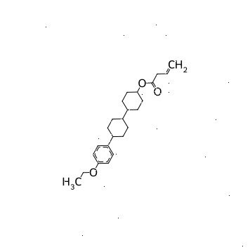 C=CCC(=O)OC1CCC(C2CCC(c3ccc(OCC)cc3)CC2)CC1